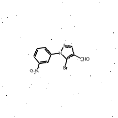 O=Cc1cnn(-c2cccc([N+](=O)[O-])c2)c1Br